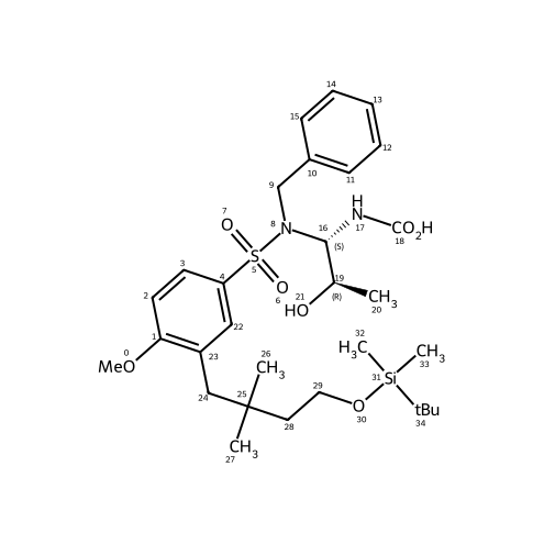 COc1ccc(S(=O)(=O)N(Cc2ccccc2)[C@H](NC(=O)O)[C@@H](C)O)cc1CC(C)(C)CCO[Si](C)(C)C(C)(C)C